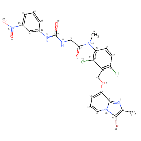 Cc1nc2c(OCc3c(Cl)ccc(N(C)C(=O)CNC(=O)Nc4cccc([N+](=O)[O-])c4)c3Cl)cccn2c1Br